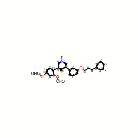 Cn1cc(-c2cccc(OCCCc3ccccc3)c2)c(=S)c(-c2ccc(OC=O)cc2OC=O)c1